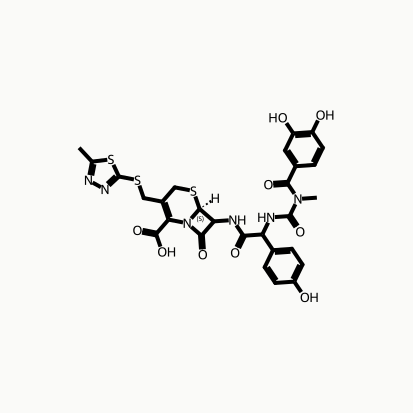 Cc1nnc(SCC2=C(C(=O)O)N3C(=O)C(NC(=O)C(NC(=O)N(C)C(=O)c4ccc(O)c(O)c4)c4ccc(O)cc4)[C@@H]3SC2)s1